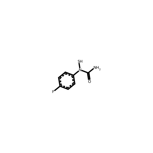 NC(=O)N(S)c1ccc(F)cc1